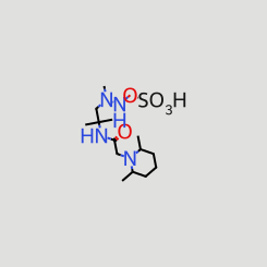 CC1CCCC(C)N1CC(=O)NC(C)(C)CN(C)NOS(=O)(=O)O